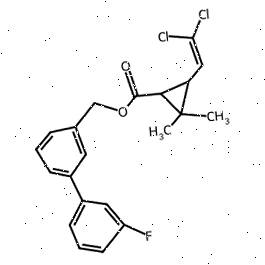 CC1(C)C(C=C(Cl)Cl)C1C(=O)OCc1cccc(-c2cccc(F)c2)c1